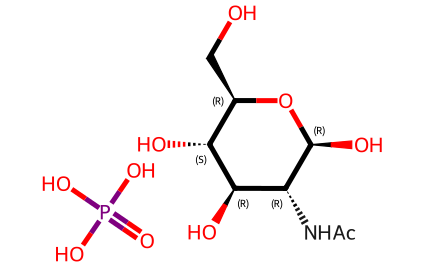 CC(=O)N[C@@H]1[C@@H](O)[C@H](O)[C@@H](CO)O[C@H]1O.O=P(O)(O)O